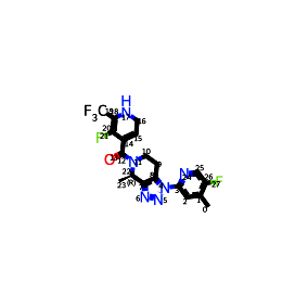 Cc1cc(-n2nnc3c2CCN(C(=O)C2=CCNC(C(F)(F)F)=C2F)[C@@H]3C)ncc1F